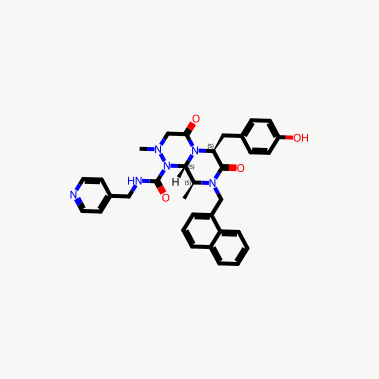 C[C@H]1[C@H]2N(C(=O)CN(C)N2C(=O)NCc2ccncc2)[C@@H](Cc2ccc(O)cc2)C(=O)N1Cc1cccc2ccccc12